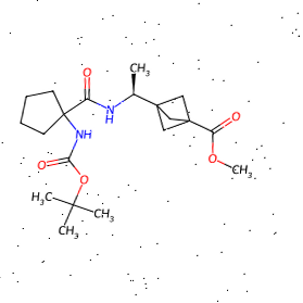 COC(=O)C12CC([C@H](C)NC(=O)C3(NC(=O)OC(C)(C)C)CCCC3)(C1)C2